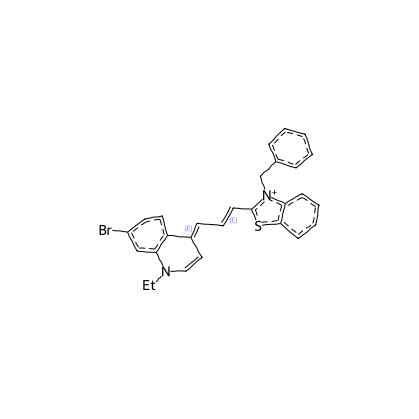 CCN1C=C/C(=C\C=C\c2sc3ccccc3[n+]2Cc2ccccc2)c2ccc(Br)cc21